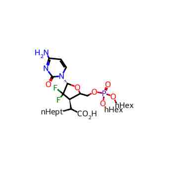 CCCCCCCC(C(=O)O)[C@@H]1C(COP(=O)(OCCCCCC)OCCCCCC)O[C@@H](n2ccc(N)nc2=O)C1(F)F